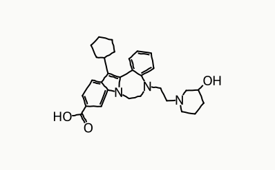 O=C(O)c1ccc2c(C3CCCCC3)c3n(c2c1)CCN(CCN1CCCC(O)C1)c1ccccc1-3